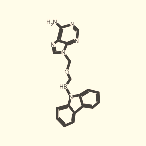 Nc1ncnc2c1ncn2COCBn1c2ccccc2c2ccccc21